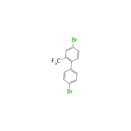 FC(F)(F)c1cc(Br)ccc1-c1ccc(Br)cc1